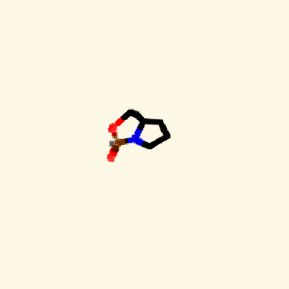 O=[S@@]1OCC2CCCN21